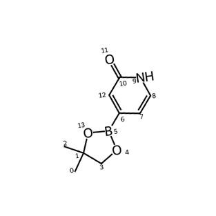 CC1(C)COB(c2cc[nH]c(=O)c2)O1